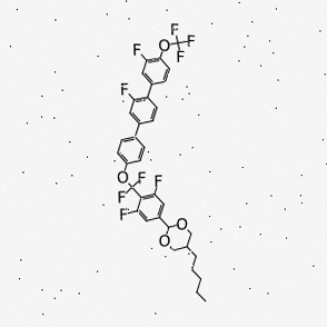 CCCCCC1COC(c2cc(F)c(C(F)(F)Oc3ccc(-c4ccc(-c5ccc(OC(F)(F)F)c(F)c5)c(F)c4)cc3)c(F)c2)OC1